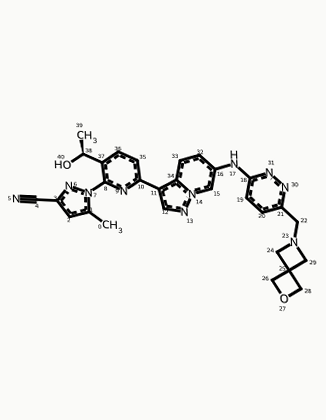 Cc1cc(C#N)nn1-c1nc(-c2cnn3cc(Nc4ccc(CN5CC6(COC6)C5)nn4)ccc23)ccc1[C@H](C)O